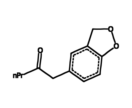 CCCC(=O)Cc1ccc2c(c1)COO2